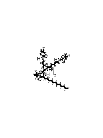 CCCCCCCCCCCCC(NC(=O)[C@H](CCCCNC(=O)OC(C)(C)C)NC(=O)[C@@H](N)CCCCNC(=O)OC(C)(C)C)C(=O)OC(C)(C)C